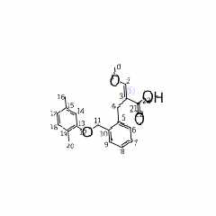 CO/C=C(\Cc1ccccc1COc1cc(C)ccc1C)C(=O)O